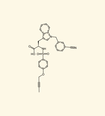 CC#CCOc1ccc(S(=O)(=O)N[C@H](Cc2cn(Cc3cccc(C#N)c3)c3ccccc23)C(=O)O)cc1